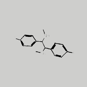 CNC(c1ccc(F)cc1)C(NC)c1ccc(F)cc1